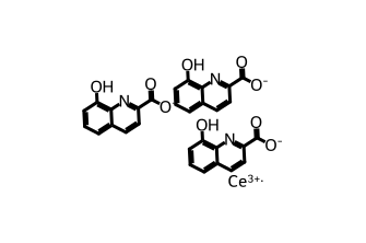 O=C([O-])c1ccc2cccc(O)c2n1.O=C([O-])c1ccc2cccc(O)c2n1.O=C([O-])c1ccc2cccc(O)c2n1.[Ce+3]